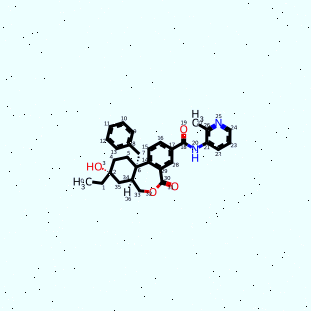 CC[C@@]1(O)CC[C@@]2(Cc3ccccc3)c3ccc(C(=O)Nc4cccnc4C)cc3C(=O)OC[C@H]2C1